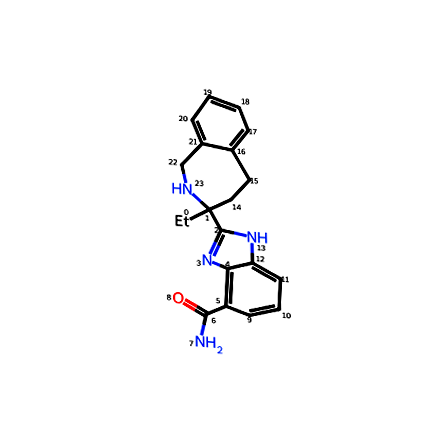 CCC1(c2nc3c(C(N)=O)cccc3[nH]2)CCc2ccccc2CN1